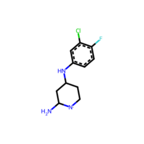 NC1CC(Nc2ccc(F)c(Cl)c2)CC[N]1